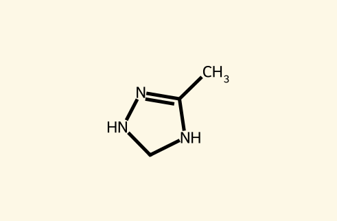 CC1=NNCN1